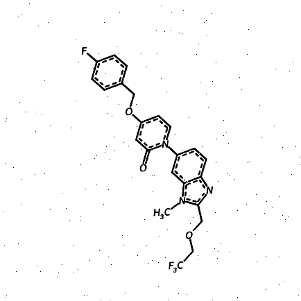 Cn1c(COCC(F)(F)F)nc2ccc(-n3ccc(OCc4ccc(F)cc4)cc3=O)cc21